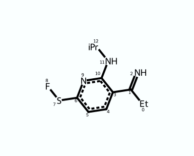 CCC(=N)c1ccc(SF)nc1NC(C)C